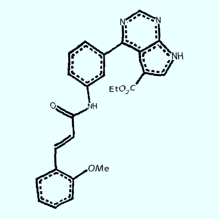 CCOC(=O)c1c[nH]c2ncnc(-c3cccc(NC(=O)C=Cc4ccccc4OC)c3)c12